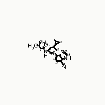 CN(C)CC(=O)NC1CC(C2CC2)CN(C2=CC=C(C#N)C3NC=CN=C23)C1